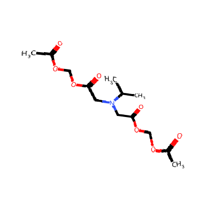 CC(=O)OCOC(=O)CN(CC(=O)OCOC(C)=O)C(C)C